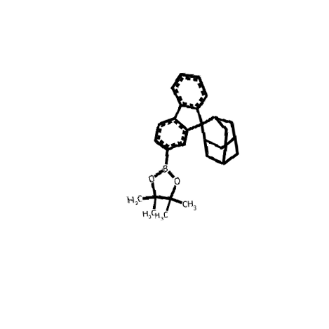 CC1(C)OB(c2ccc3c(c2)C2(c4ccccc4-3)C3CC4CC(C3)CC2C4)OC1(C)C